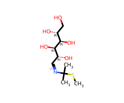 CSC(C)(C)/N=C\[C@@H](O)[C@@H](O)[C@H](O)[C@H](O)CO